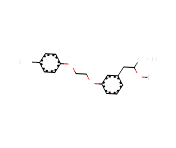 CCOC(Cc1cccc(OCCOc2ccc(C(F)(F)F)cc2)c1)C(=O)O